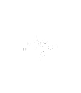 O=c1[nH]c(=S)c(C(c2ccc(Cl)cc2)c2ccc(Cl)cc2)cn1[C@@H]1O[C@H](CO)[C@@H](O)[C@H]1O